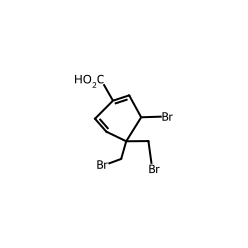 O=C(O)C1=CC(Br)C(CBr)(CBr)C=C1